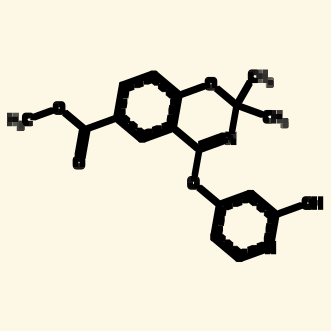 COC(=O)c1ccc2c(c1)C(Oc1ccnc(O)c1)=NC(C)(C)O2